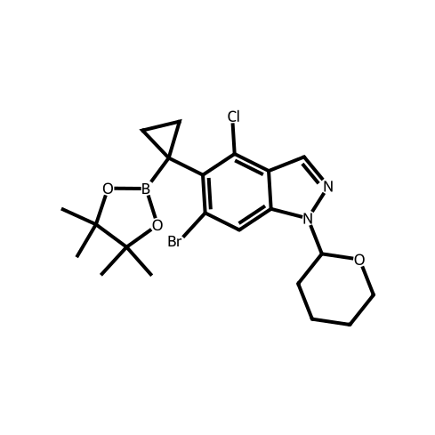 CC1(C)OB(C2(c3c(Br)cc4c(cnn4C4CCCCO4)c3Cl)CC2)OC1(C)C